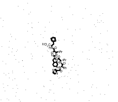 CCCC(NC(=O)[C@@H]1CC2CCCCC2N1C(=O)[C@@H](NC(=O)C(NC(=O)c1cnccn1)C(C)C)C(C)C)C(=O)C(=O)N[C@@H](Cc1ccccc1)C(=O)O